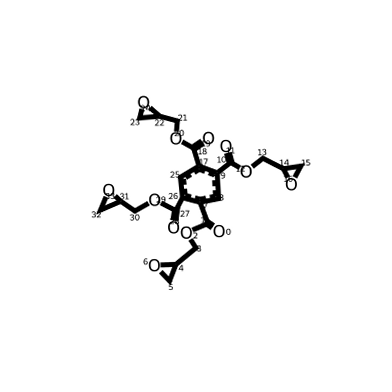 O=C(OCC1CO1)c1cc(C(=O)OCC2CO2)c(C(=O)OCC2CO2)cc1C(=O)OCC1CO1